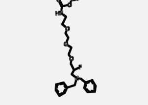 CC(C)(C)OC(=O)NCCOCCOCCOCC(F)CN(Cc1ccccc1)Cc1ccccc1